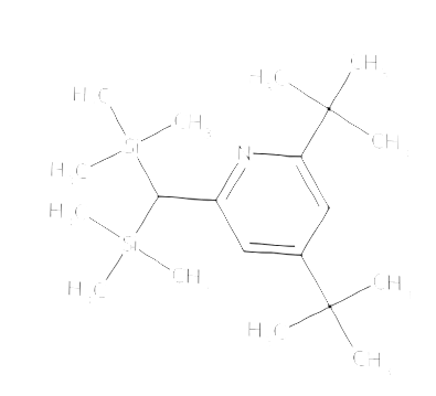 CC(C)(C)c1cc(C([Si](C)(C)C)[Si](C)(C)C)nc(C(C)(C)C)c1